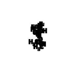 COc1cc(N2CCC(=O)N(CC(O)N(CC(F)(F)F)c3cccc(C(F)(F)F)c3)CC2)ccc1-c1cnc(C)o1